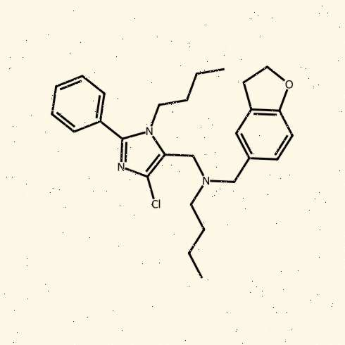 CCCCN(Cc1ccc2c(c1)CCO2)Cc1c(Cl)nc(-c2ccccc2)n1CCCC